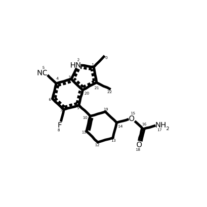 Cc1[nH]c2c(C#N)cc(F)c(C3=CCCC(OC(N)=O)C3)c2c1C